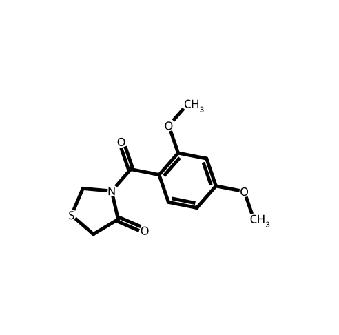 COc1ccc(C(=O)N2CSCC2=O)c(OC)c1